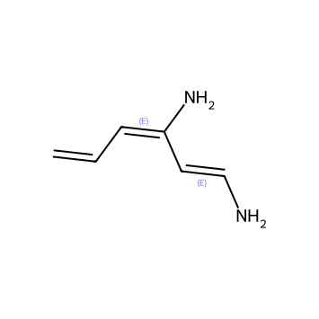 C=C/C=C(N)\C=C\N